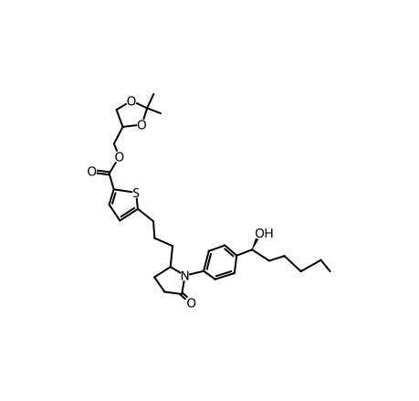 CCCCC[C@H](O)c1ccc(N2C(=O)CCC2CCCc2ccc(C(=O)OCC3COC(C)(C)O3)s2)cc1